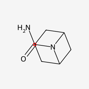 NC(=O)N1C2CCCC1C2